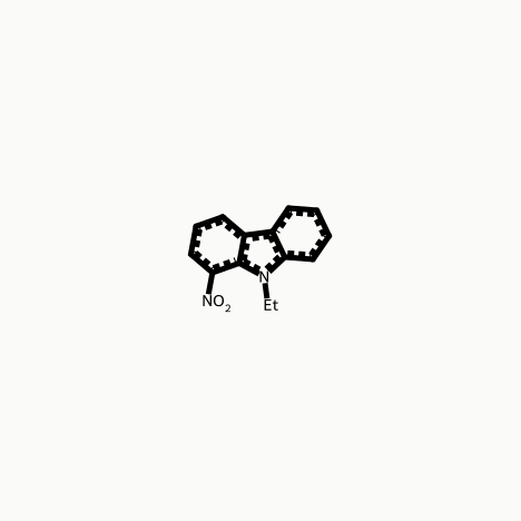 CCn1c2ccccc2c2cccc([N+](=O)[O-])c21